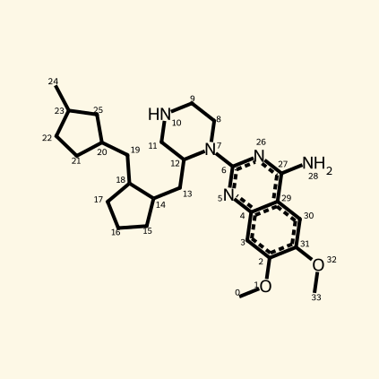 COc1cc2nc(N3CCNCC3CC3CCCC3CC3CCC(C)C3)nc(N)c2cc1OC